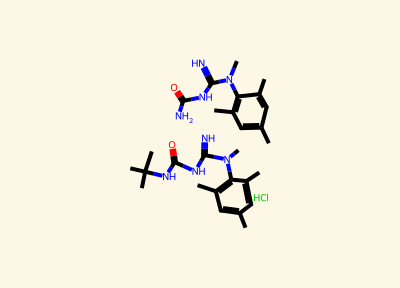 Cc1cc(C)c(N(C)C(=N)NC(=O)NC(C)(C)C)c(C)c1.Cc1cc(C)c(N(C)C(=N)NC(N)=O)c(C)c1.Cl